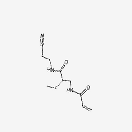 C=CC(=O)NCC(SC)C(=O)NCCC#N